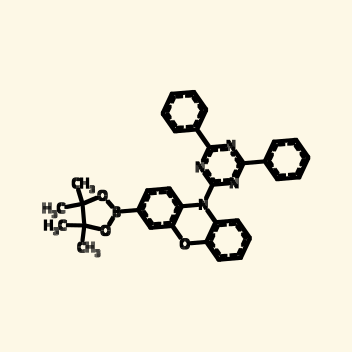 CC1(C)OB(c2ccc3c(c2)Oc2ccccc2N3c2nc(-c3ccccc3)nc(-c3ccccc3)n2)OC1(C)C